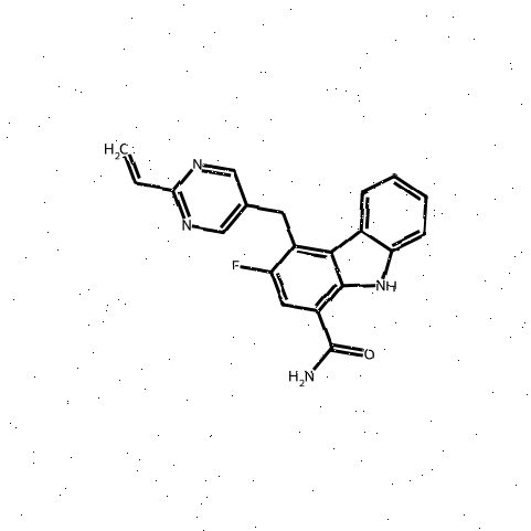 C=Cc1ncc(Cc2c(F)cc(C(N)=O)c3[nH]c4ccccc4c23)cn1